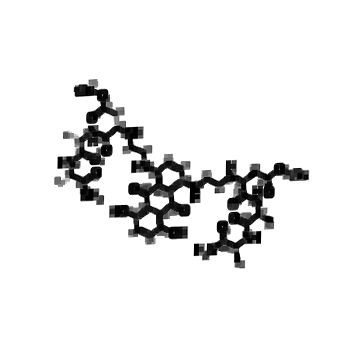 C[C@H](NC(=O)[C@H](C)NC(=O)[C@H](CC(=O)OC(C)(C)C)NCCNc1ccc(NCCN[C@@H](CC(=O)OC(C)(C)C)C(=O)N[C@@H](C)C(=O)N[C@@H](C)C(N)=O)c2c1C(=O)c1c(O)ccc(O)c1C2=O)C(N)=O